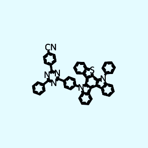 N#Cc1ccc(-c2nc(-c3ccccc3)nc(-c3ccc(-n4c5ccccc5c5c6c7ccccc7n(-c7ccccc7)c6c6sc7ccccc7c6c54)cc3)n2)cc1